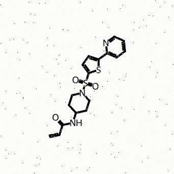 C=CC(=O)NC1CCN(S(=O)(=O)c2ccc(-c3ccccn3)s2)CC1